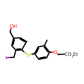 CCOC(=O)COc1ccc(Sc2ccc(CO)cc2CI)cc1C